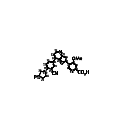 COc1cc(C(=O)O)ncc1-c1cc2nccc(-c3ccc(N4CCC(F)C4)c(C#N)c3)c2o1